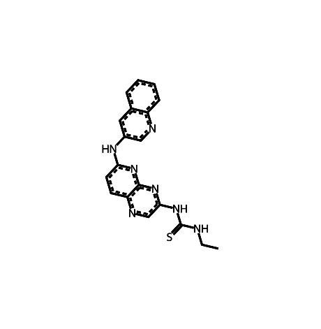 CCNC(=S)Nc1cnc2ccc(Nc3cnc4ccccc4c3)nc2n1